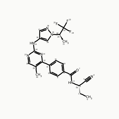 CC[C@@H](C#N)NC(=O)c1ccc(-c2nc(Nc3cnn([C@H](C)C(F)(F)F)c3)ncc2C)cc1